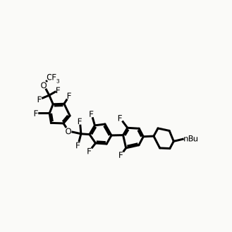 CCCCC1CCC(c2cc(F)c(-c3cc(F)c(C(F)(F)Oc4cc(F)c(C(F)(F)OC(F)(F)F)c(F)c4)c(F)c3)c(F)c2)CC1